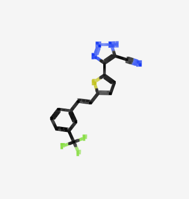 N#Cc1[nH]nnc1-c1ccc(C=Cc2cccc(C(F)(F)F)c2)s1